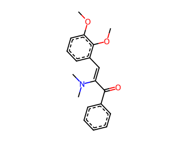 COc1cccc(C=C(C(=O)c2ccccc2)N(C)C)c1OC